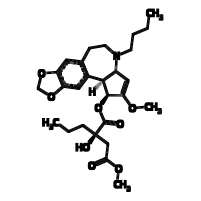 CCCCN1CCc2cc3c(cc2[C@H]2C1C=C(OC)[C@H]2OC(=O)[C@@](O)(CCC)CC(=O)OC)OCO3